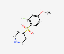 COc1ccc(S(=O)(=O)C2CCNCC2)c(F)c1